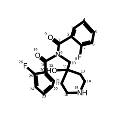 O=C(c1ccccc1F)N(CC1(O)CCNCC1)C(=O)c1ccccc1F